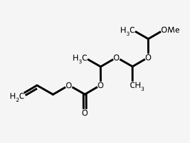 C=CCOC(=O)OC(C)OC(C)OC(C)OC